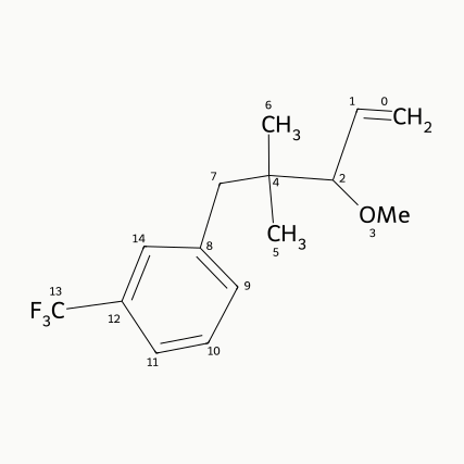 C=CC(OC)C(C)(C)Cc1cccc(C(F)(F)F)c1